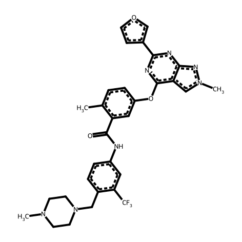 Cc1ccc(Oc2nc(-c3ccoc3)nc3nn(C)cc23)cc1C(=O)Nc1ccc(CN2CCN(C)CC2)c(C(F)(F)F)c1